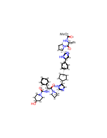 COC(=O)N[C@H](C(=O)N1CCC[C@H]1c1ncc(-c2ccc([C@H]3CC[C@H](c4cnc([C@@H]5CCCN5C(=O)[C@H](NC(=O)N5CCC(O)CC5)c5ccccc5)[nH]4)CC3)cc2)[nH]1)C(C)C